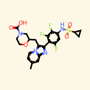 Cc1ccn2c(CC3CN(C(=O)O)CCO3)c(-c3c(F)cc(NS(=O)(=O)C4CC4)c(F)c3F)nc2c1